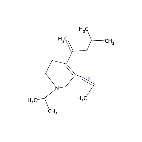 C=C(CC(C)C)C1=C(/C=C\C)CN(C(C)C)CC1